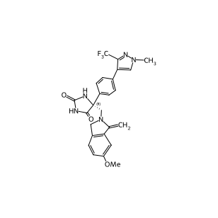 C=C1c2cc(OC)ccc2CN1C[C@@]1(c2ccc(-c3cn(C)nc3C(F)(F)F)cc2)NC(=O)NC1=O